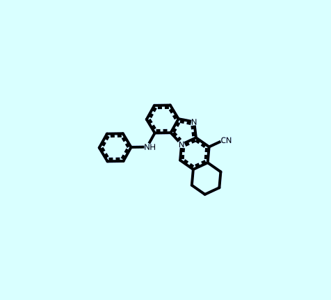 N#Cc1c2c(cn3c1nc1cccc(Nc4ccccc4)c13)CCCC2